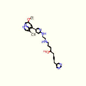 CCOc1cc(-c2ccc(NCCNCCCC(O)CC#CCc3cncnc3)nc2)c2c(C#N)cnn2c1